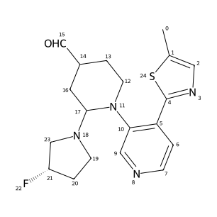 Cc1cnc(-c2ccncc2N2CCC(C=O)CC2N2CC[C@H](F)C2)s1